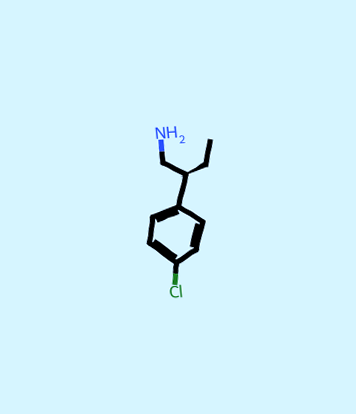 CC[C@H](CN)c1ccc(Cl)cc1